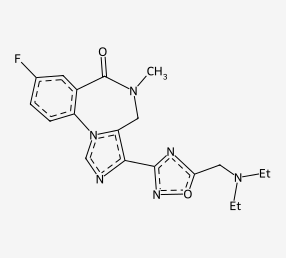 CCN(CC)Cc1nc(-c2ncn3c2CN(C)C(=O)c2cc(F)ccc2-3)no1